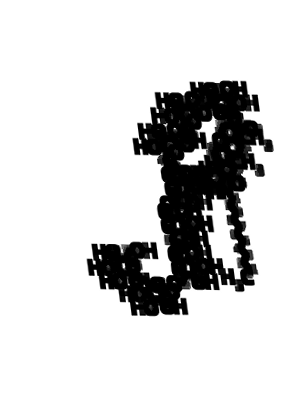 CCCCCCCCCCCCNC(=O)[C@]12CCC(C)(C)C[C@H]1C1=CCC3[C@@]4(C)CC[C@H](OC5OC(COC6OC(COOC7OC(COOC8OC(COOC9OC(COOC%10OC(COOC%11OC(COC%12OC(CO)C(O)C(O)C%12O)C(O)C(O)C%11O)C(O)C(O)C%10O)C(O)C(O)C9O)C(O)C(O)C8O)C(O)C(O)C7O)C(O)C(O)C6O)C(O)C(O)C5O)[C@@](C)(C=O)C4CC[C@@]3(C)[C@]1(C)CC2